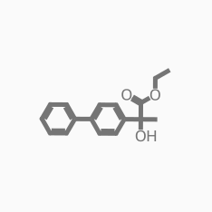 CCOC(=O)C(C)(O)c1ccc(-c2ccccc2)cc1